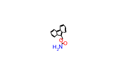 NC(=O)OCC1=c2ccccc2=C2C=CC=CC21